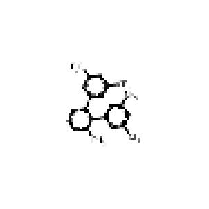 FC(F)(F)c1cc(-c2cccc(P)c2-c2cc(C(F)(F)F)cc(C(F)(F)F)c2)cc(C(F)(F)F)c1